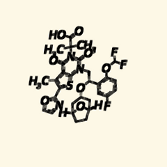 Cc1c(-c2ncco2)sc2c1c(=O)n(C(C)(C)C(=O)O)c(=O)n2C[C@H](O[C@H]1C[C@H]2CC[C@@H](C1)O2)c1cc(F)ccc1OC(F)F